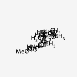 COc1ccc(NC(=O)CCN2CCc3c(C)cc(C4=Nc5c(-c6ccc(C(=O)N(C)C)c(C)c6)c[nH]c5NC4C)cc3C2)cc1